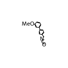 COc1cccc(-c2ccc(CN=C=O)cc2)c1